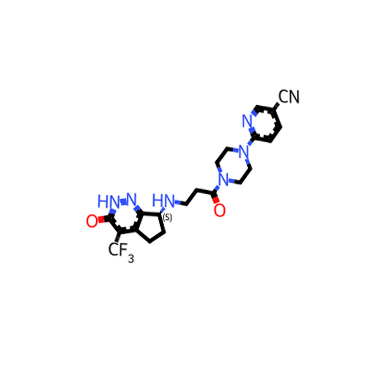 N#Cc1ccc(N2CCN(C(=O)CCN[C@H]3CCc4c3n[nH]c(=O)c4C(F)(F)F)CC2)nc1